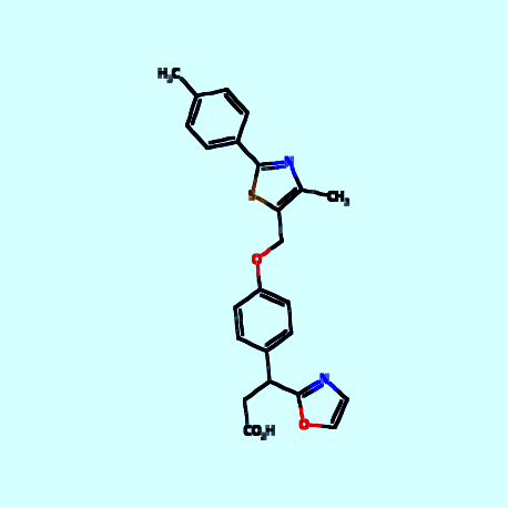 Cc1ccc(-c2nc(C)c(COc3ccc(C(CC(=O)O)c4ncco4)cc3)s2)cc1